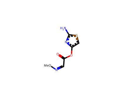 CO/N=C\C(=O)Oc1csc(N)n1